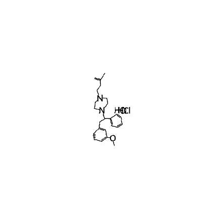 C=C(C)CCN1CCN(C(Cc2cccc(OC)c2)c2ccccc2)CC1.Cl.Cl